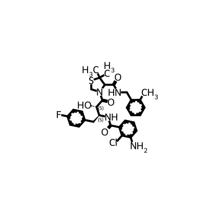 Cc1ccccc1CNC(=O)C1N(C(=O)[C@@H](O)[C@H](Cc2ccc(F)cc2)NC(=O)c2cccc(N)c2Cl)CSC1(C)C